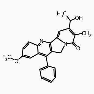 Cc1c(C(C)O)cc2n(c1=O)Cc1c-2nc2ccc(OC(F)(F)F)cc2c1-c1ccccc1